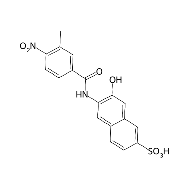 Cc1cc(C(=O)Nc2cc3ccc(S(=O)(=O)O)cc3cc2O)ccc1[N+](=O)[O-]